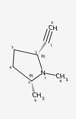 C#C[C@H]1CC[C@@H](C)N1C